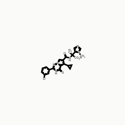 Cn1cncc1C(C)(NC(=O)c1cn2nc(-c3cccc(Cl)c3)[nH]c(=O)c2c1C1CC1)C(=O)O